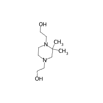 CC1(C)CN(CCO)CCN1CCO